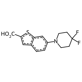 O=C(O)c1cc2ccc(N3CCC(F)(F)CC3)cc2s1